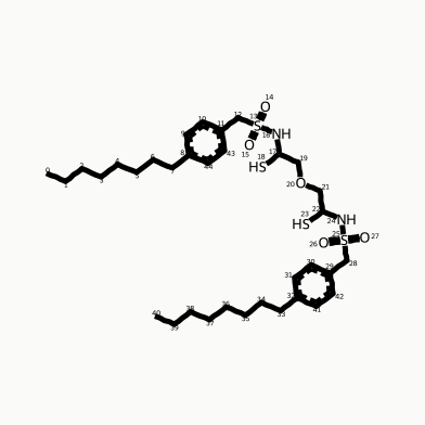 CCCCCCCCc1ccc(CS(=O)(=O)NC(S)COCC(S)NS(=O)(=O)Cc2ccc(CCCCCCCC)cc2)cc1